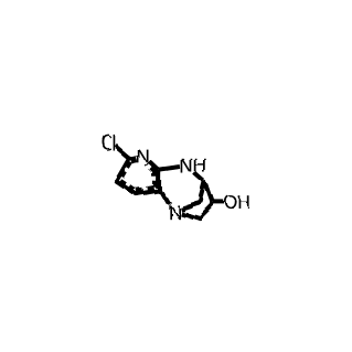 OC1CN2CC1Nc1nc(Cl)ccc12